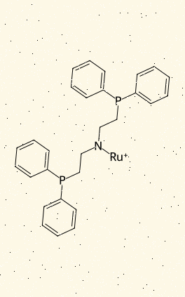 [Ru+][N](CCP(c1ccccc1)c1ccccc1)CCP(c1ccccc1)c1ccccc1